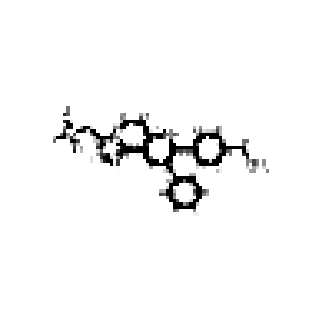 CS(=O)(=O)Cc1nnc2c3cc(-c4ccccc4)c(-c4ccc(CN)cc4)nc3ccn12